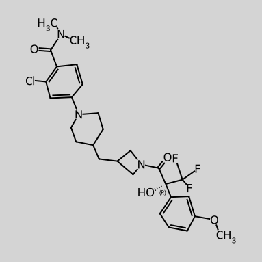 COc1cccc([C@@](O)(C(=O)N2CC(CC3CCN(c4ccc(C(=O)N(C)C)c(Cl)c4)CC3)C2)C(F)(F)F)c1